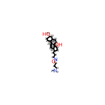 CN(C)CCCO/N=C/CCC1CC[C@@]2(O)[C@@H]3CCC4CC(O)CC[C@]4(C)[C@@H]3CC[C@]12C